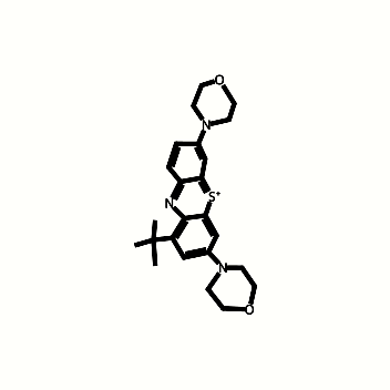 CC(C)(C)c1cc(N2CCOCC2)cc2[s+]c3cc(N4CCOCC4)ccc3nc12